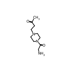 CC(=O)CCN1CCN(C(=O)CN)CC1